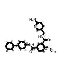 Nc1ccc(CNC(=O)c2cc(C(=O)Nc3ccc(-c4ccccc4)cc3)ccc2OC(F)(F)F)cn1